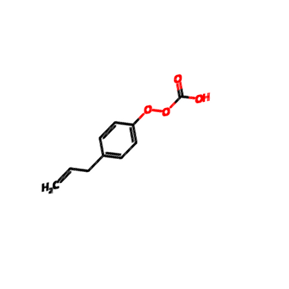 C=CCc1ccc(OOC(=O)O)cc1